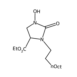 CCCCCCCCCCN1C(=O)N(O)CC1C(=O)OCC